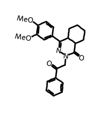 COc1ccc(C2=NN(CC(=O)c3ccccc3)C(=O)C3CCCCC23)cc1OC